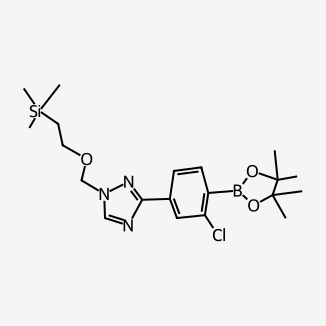 CC1(C)OB(c2ccc(-c3ncn(COCC[Si](C)(C)C)n3)cc2Cl)OC1(C)C